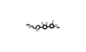 CCOCCC1CCC(c2ccc(-c3ccc(OCC)c(F)c3)c(F)c2F)CO1